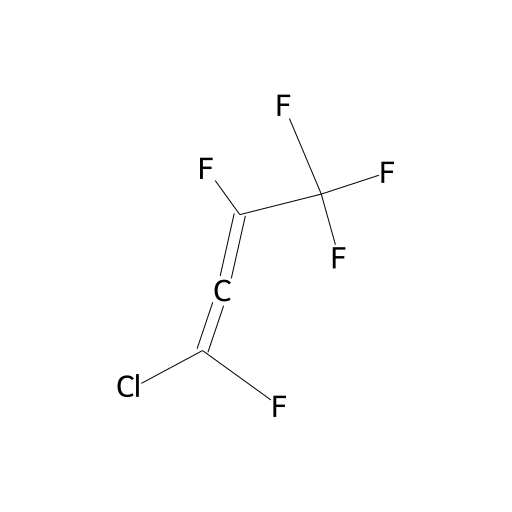 FC(Cl)=C=C(F)C(F)(F)F